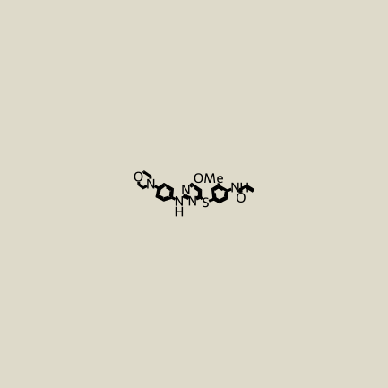 C=CC(=O)Nc1ccc(Sc2ccnc(Nc3ccc(N4CCOCC4)cc3)n2)cc1OC